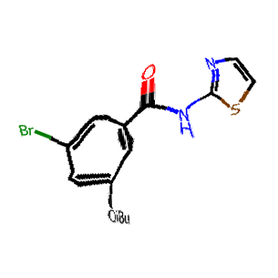 CC(C)COc1cc(Br)cc(C(=O)Nc2nccs2)c1